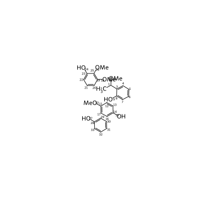 COC(C)c1ccccc1O.COc1ccc(O)cc1.COc1cccc(O)c1OC.Oc1ccccc1